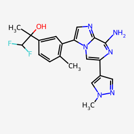 Cc1ccc(C(C)(O)C(F)F)cc1-c1cnc2c(N)nc(-c3cnn(C)c3)cn12